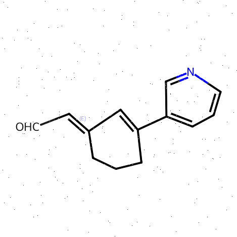 O=C/C=C1/C=C(c2cccnc2)CCC1